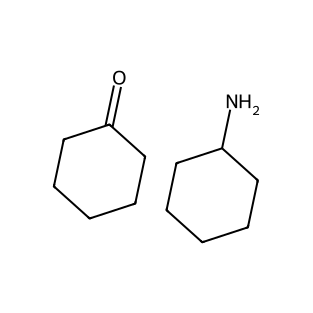 NC1CCCCC1.O=C1CCCCC1